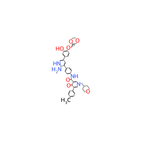 Cc1ccc(-c2cn(CC3CCOCC3)cc(C(=O)Nc3ccc(C4=CC(c5ccc(OC[C@@H]6COCCO6)c(O)c5)=CNC4N)cc3)c2=O)cc1